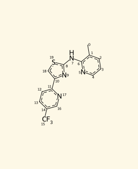 Cc1cccnc1Nc1nc(-c2ccc(C(F)(F)F)cn2)cs1